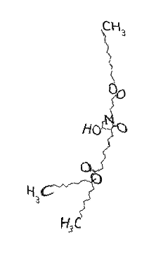 CCCCCCCCCCCOC(=O)CCCCN1CC(O)C(CCCCCCCC(=O)OC(CCCCCCCC)CCCCCCCC)C1=O